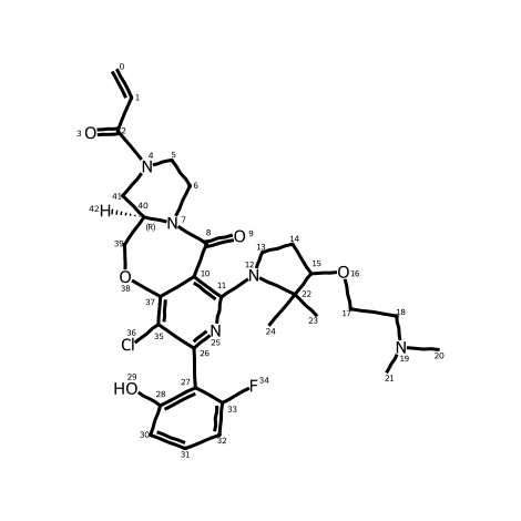 C=CC(=O)N1CCN2C(=O)c3c(N4CCC(OCCN(C)C)C4(C)C)nc(-c4c(O)cccc4F)c(Cl)c3OC[C@H]2C1